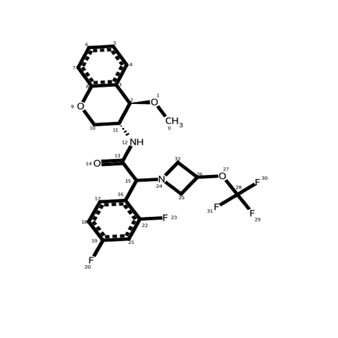 CO[C@@H]1c2ccccc2OC[C@H]1NC(=O)C(c1ccc(F)cc1F)N1CC(OC(F)(F)F)C1